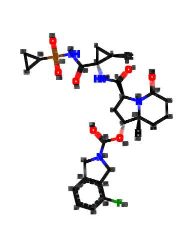 CC[C@@H]1C[C@]1(NC(=O)[C@@H]1C[C@@H](OC(=O)N2Cc3cccc(F)c3C2)[C@H]2CCCC(=O)N21)C(=O)NS(=O)(=O)C1CC1